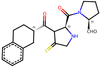 O=C[C@@H]1CCCN1C(=O)[C@H]1NCC(=S)C1C(=O)[C@H]1CCc2ccccc2C1